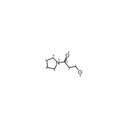 [O]CCC(=O)N1CCCC1